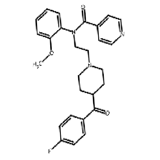 COc1ccccc1N(CCN1CCC(C(=O)c2ccc(F)cc2)CC1)C(=O)c1ccncc1